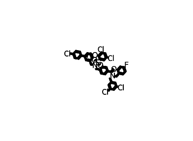 O=C(c1ccc(CN(Cc2cccc(-c3ccc(Cl)cc3)c2)S(=O)(=O)c2cc(Cl)cc(Cl)c2O)cc1)N(Cc1ccc(F)cc1)Cc1cc(Cl)cc(Cl)c1